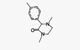 Cc1ccc(C2C(=O)N(C)CCN2C)cc1